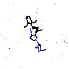 CCc1cccc(CC)c1-c1cc(C)c2c(n1)CCN(c1cc(C)nn1C)C2